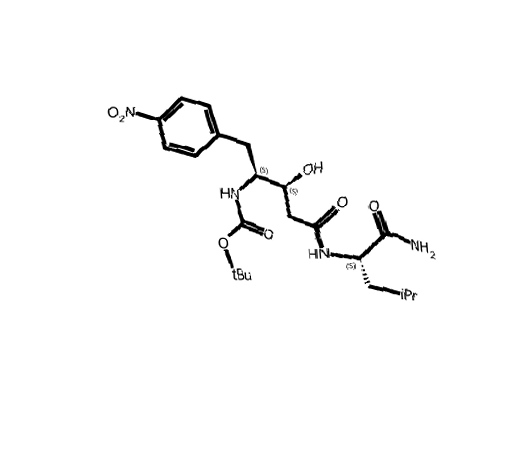 CC(C)C[C@H](NC(=O)C[C@H](O)[C@H](Cc1ccc([N+](=O)[O-])cc1)NC(=O)OC(C)(C)C)C(N)=O